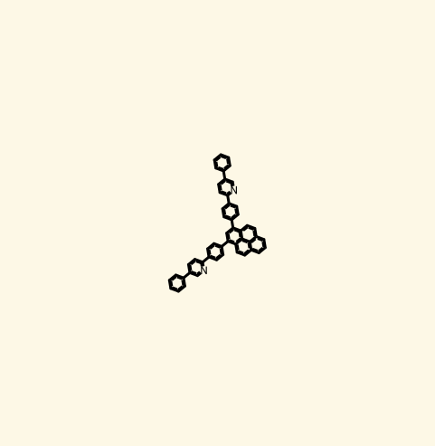 c1ccc(-c2ccc(-c3ccc(-c4cc(-c5ccc(-c6ccc(-c7ccccc7)cn6)cc5)c5ccc6cccc7ccc4c5c76)cc3)nc2)cc1